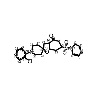 O=C1CC(S(=O)(=O)N2C=CN=CC2)CC2OC3(CCN(c4ccncc4Cl)CC3)CC12